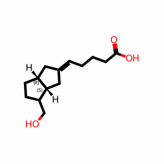 O=C(O)CCCC=C1C[C@H]2CCC(CO)[C@H]2C1